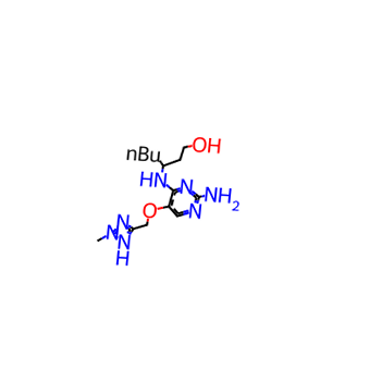 CCCCC(CCO)Nc1nc(N)ncc1OCc1nn(C)[nH]1